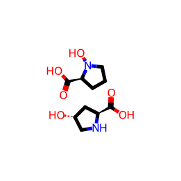 O=C(O)[C@@H]1CCCN1O.O=C(O)[C@@H]1C[C@@H](O)CN1